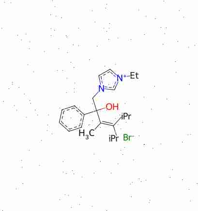 CC[n+]1ccn(CC(O)(C(C)=C(C(C)C)C(C)C)c2ccccc2)c1.[Br-]